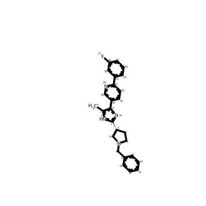 Cc1[nH]c([C@@H]2CCN(Cc3ccccc3)C2)nc1-c1ccc(-c2cccc(F)c2)nc1